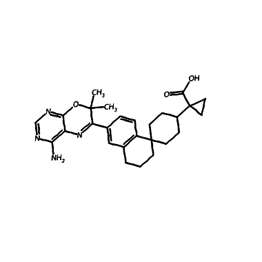 CC1(C)Oc2ncnc(N)c2N=C1c1ccc2c(c1)CCCC21CCC(C2(C(=O)O)CC2)CC1